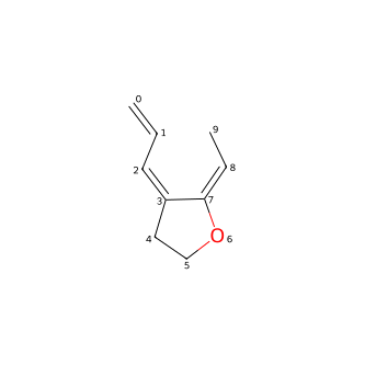 C=C/C=C1/CCO/C1=C/C